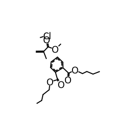 C=C(C)C(=O)OC.CCCCOC(=O)c1ccccc1C(=O)OCCCC.CCl